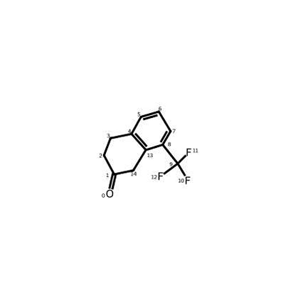 O=C1CCc2cccc(C(F)(F)F)c2C1